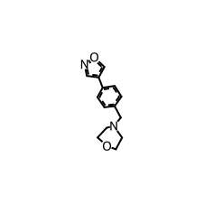 c1cc(-c2cnoc2)ccc1CN1CCOCC1